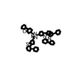 c1ccc(-c2cccc(-n3c4ccccc4c4cccc(-n5c6ccccc6c6ccc(-c7nc(-c8ccc9c(c8)oc8ccccc89)nc(-c8ccc9c(c8)sc8cccc(-c%10ccccc%10)c89)n7)cc65)c43)c2)cc1